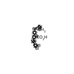 Cn1nccc1CNC(=O)c1ccc(-c2ccc(-c3nc(-c4ccc(Cl)c(Cl)c4)cs3)cc2OC(=O)O)cc1